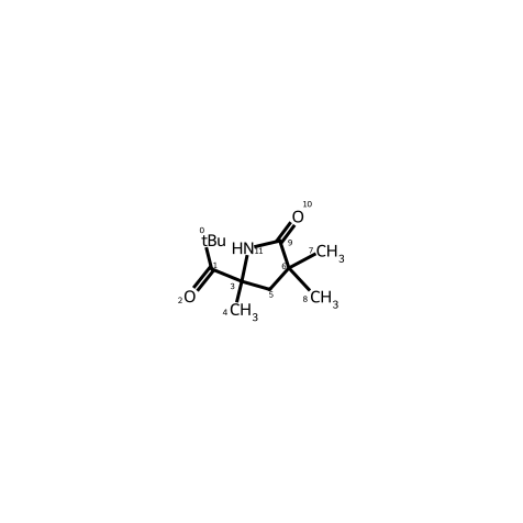 CC(C)(C)C(=O)C1(C)CC(C)(C)C(=O)N1